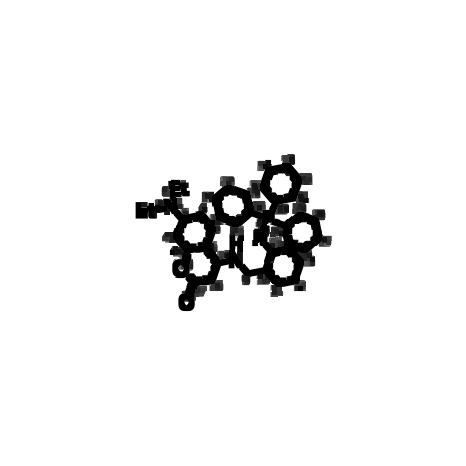 CCN(CC)c1ccc2c(NCc3ccccc3N=P(c3ccccc3)(c3ccccc3)c3ccccc3)cc(=O)oc2c1